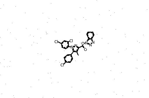 Cc1c(C(=O)On2nnc3ccccc32)nn(-c2ccc(Cl)cc2Cl)c1-c1ccc(Cl)cc1